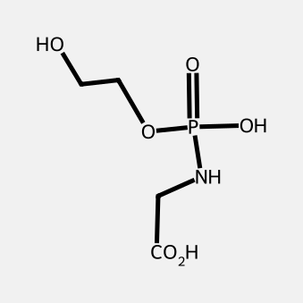 O=C(O)CNP(=O)(O)OCCO